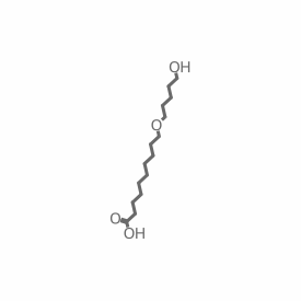 O=C(O)CCCCCCCCCOCCCCCO